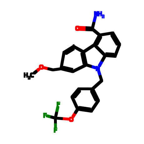 COCc1c[c]c2c3c(C(N)=O)cccc3n(Cc3ccc(OC(F)(F)F)cc3)c2c1